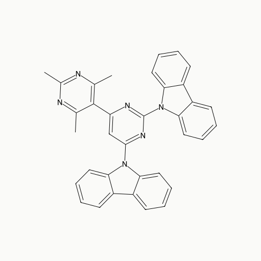 Cc1nc(C)c(-c2cc(-n3c4ccccc4c4ccccc43)nc(-n3c4ccccc4c4ccccc43)n2)c(C)n1